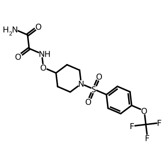 NC(=O)C(=O)NOC1CCN(S(=O)(=O)c2ccc(OC(F)(F)F)cc2)CC1